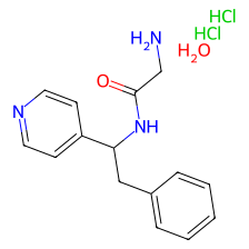 Cl.Cl.NCC(=O)NC(Cc1ccccc1)c1ccncc1.O